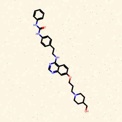 O=C(Nc1ccccc1)Nc1ccc(CCNc2ncnc3cc(OCCCN4CCC(CO)CC4)ccc23)cc1